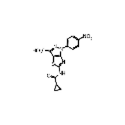 O=C(O)c1nn(-c2ccc([N+](=O)[O-])cc2)c2nc(NC(=O)C3CC3)sc12